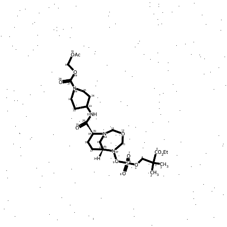 CCOC(=O)C(C)(C)COS(=O)(=O)ON1COCN2C[C@H]1CC[C@H]2C(=O)NC1CCN(C(=O)OCOC(C)=O)CC1